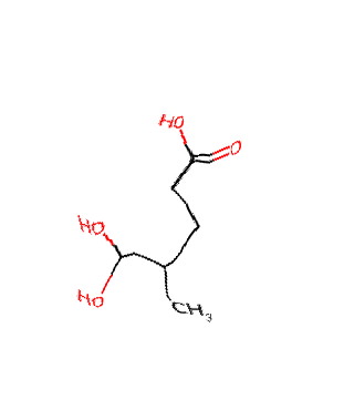 CC(CCC(=O)O)C(O)O